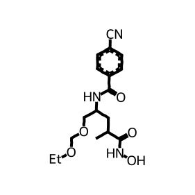 CCOCOCC(CC(C)C(=O)NO)NC(=O)c1ccc(C#N)cc1